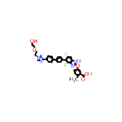 Cc1ccc(Oc2nc3c(F)c(-c4ccc(-c5ccc(-c6ncn(CCOCCO)n6)cc5)cc4)c(F)cc3[nH]2)cc1C(=O)O